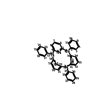 c1ccc(N2c3cccc(n3)N(c3ccccc3)c3cccc(n3)N(c3ccccc3)c3cccc2n3)cc1